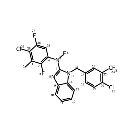 Cc1c(F)c(N(F)c2nc3ccccc3n2Cc2ccc(Cl)c(C(F)(F)F)c2)cc(F)c1Cl